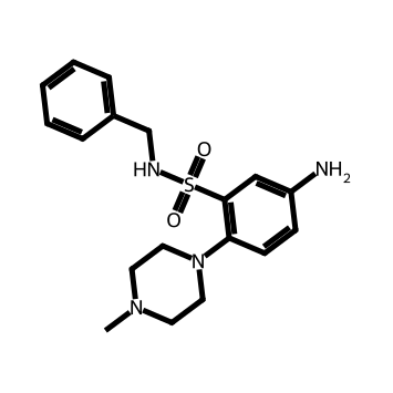 CN1CCN(c2ccc(N)cc2S(=O)(=O)NCc2ccccc2)CC1